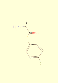 C[C@H](N)C(=O)Sc1ccc(Cl)cc1